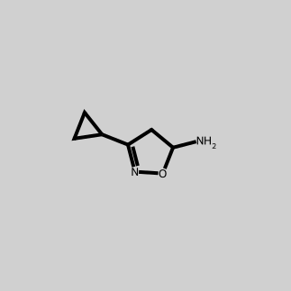 NC1CC(C2CC2)=NO1